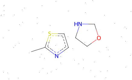 C1COCN1.Cc1nccs1